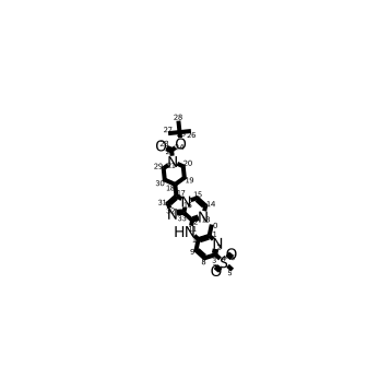 Cc1nc(S(C)(=O)=O)ccc1Nc1nccn2c(C3CCN(C(=O)OC(C)(C)C)CC3)cnc12